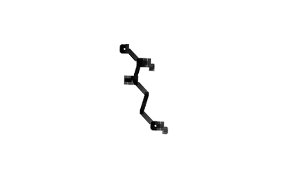 CCCN[SiH2]Cl